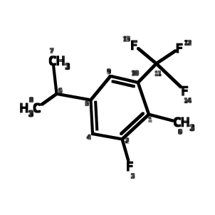 Cc1c(F)cc(C(C)C)cc1C(F)(F)F